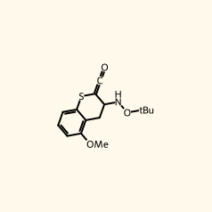 COc1cccc2c1CC(NOC(C)(C)C)C(=C=O)S2